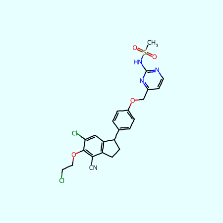 CS(=O)(=O)Nc1nccc(COc2ccc(C3CCc4c3cc(Cl)c(OCCCl)c4C#N)cc2)n1